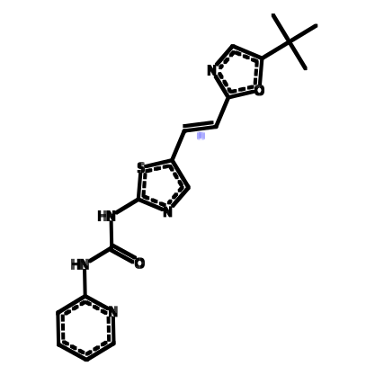 CC(C)(C)c1cnc(/C=C/c2cnc(NC(=O)Nc3ccccn3)s2)o1